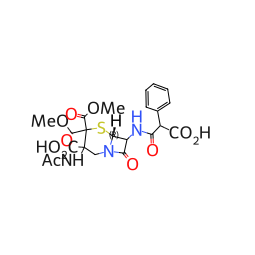 COC(=O)C1(C(=O)OC)S[C@@H]2C(NC(=O)C(C(=O)O)c3ccccc3)C(=O)N2CC1(NC(C)=O)C(=O)O